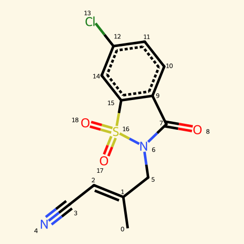 CC(=CC#N)CN1C(=O)c2ccc(Cl)cc2S1(=O)=O